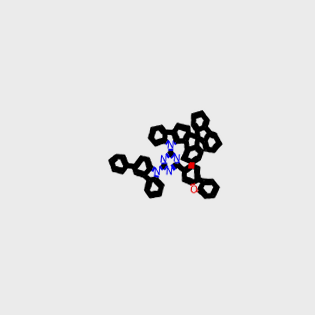 c1ccc(-c2ccc3c(c2)c2ccccc2n3-c2nc(-c3ccc4c(c3)oc3ccccc34)nc(-n3c4ccccc4c4ccc5c(c43)-c3ccccc3C53c4ccccc4-c4ccccc43)n2)cc1